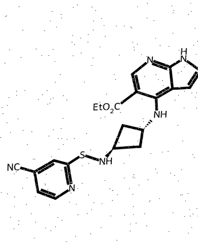 CCOC(=O)c1cnc2[nH]ccc2c1N[C@H]1C[C@H](NSc2cc(C#N)ccn2)C1